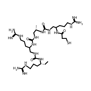 CC[C@H](CCCNC(=N)N)NC(=O)NCC(CCCNC(=N)N)NC(=O)NC[C@H](C)NC(=O)NCC(CCCNC(=N)N)NC(=O)CCS